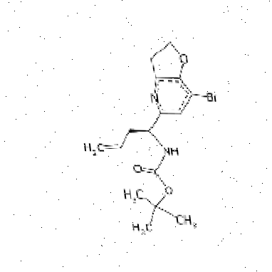 C=CC[C@H](NC(=O)OC(C)(C)C)c1cc(Br)c2c(n1)CCO2